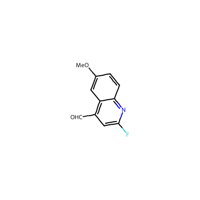 COc1ccc2nc(F)cc(C=O)c2c1